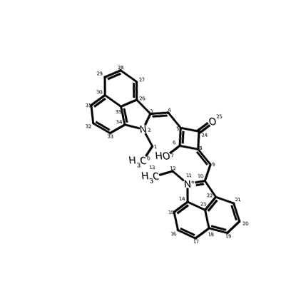 CCn1c(=CC2=C(O)C(=CC3=[N+](CC)c4cccc5cccc3c45)C2=O)c2cccc3cccc1c32